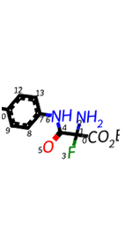 CCOC(=O)C(N)(F)C(=O)Nc1ccc(Cl)cc1